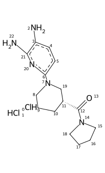 Cl.Cl.Nc1ccc(N2CCC[C@@H](C(=O)N3CCCC3)C2)nc1N